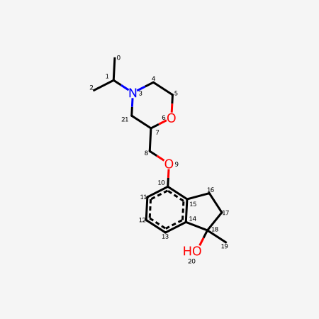 CC(C)N1CCOC(COc2cccc3c2CCC3(C)O)C1